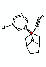 C=COC(=O)N1C2CCC1CC(C#N)(c1cncc(Cl)c1)C2